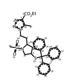 CCOC(=O)c1nnn(CCC2CC(SC(c3ccccc3)(c3ccccc3)c3ccccc3)CN2S(C)(=O)=O)c1C